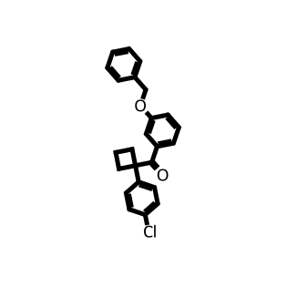 O=C(c1cccc(OCc2ccccc2)c1)C1(c2ccc(Cl)cc2)CCC1